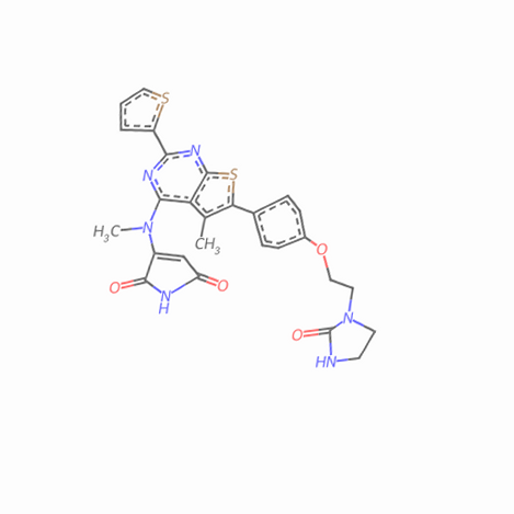 Cc1c(-c2ccc(OCCN3CCNC3=O)cc2)sc2nc(-c3cccs3)nc(N(C)C3=CC(=O)NC3=O)c12